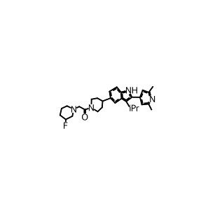 Cc1cc(-c2[nH]c3ccc(C4CCN(C(=O)CN5CCCC(F)C5)CC4)cc3c2C(C)C)cc(C)n1